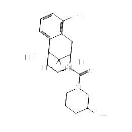 CC1(C)[C@H]2Cc3c(O)cccc3[C@]1(C)CCN2C(=O)N1CCCC(O)C1